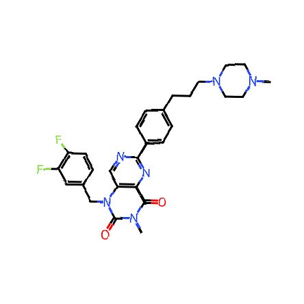 CN1CCN(CCCc2ccc(-c3ncc4c(n3)c(=O)n(C)c(=O)n4Cc3ccc(F)c(F)c3)cc2)CC1